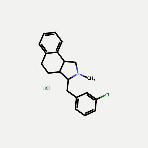 CN1CC2c3ccccc3CCC2C1Cc1cccc(Cl)c1.Cl